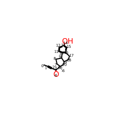 CC#CC(=O)[C@@]1(C)CCC2c3ccc(O)cc3CCC2C1